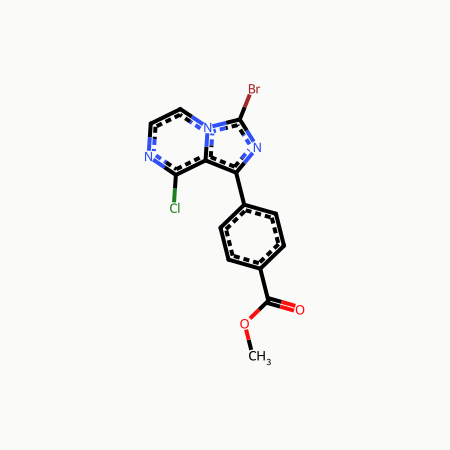 COC(=O)c1ccc(-c2nc(Br)n3ccnc(Cl)c23)cc1